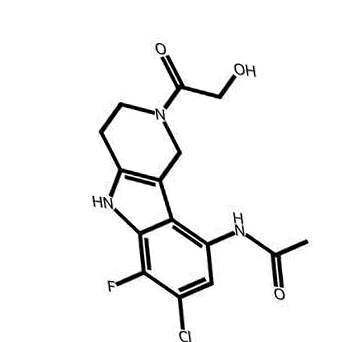 CC(=O)Nc1cc(Cl)c(F)c2[nH]c3c(c12)CN(C(=O)CO)CC3